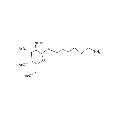 CC(=O)N[C@H]1C(OCCCCCCN)O[C@H](COC(C)=O)[C@H](OC(C)=O)[C@@H]1OC(C)=O